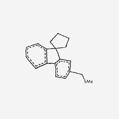 CSCc1ccc2c(c1)C1(CCCC1)c1ccccc1-2